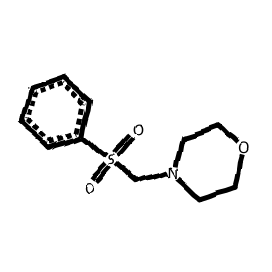 O=S(=O)(CN1CCOCC1)c1cc[c]cc1